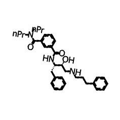 CCCN(CCC)C(=O)c1cccc(C(=O)N[C@@H](Cc2ccccc2)[C@H](O)CNCCCc2ccccc2)c1